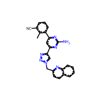 Cc1c(C#N)cccc1-c1cc(-c2cn(Cc3ccc4ccccc4n3)nn2)nc(N)n1